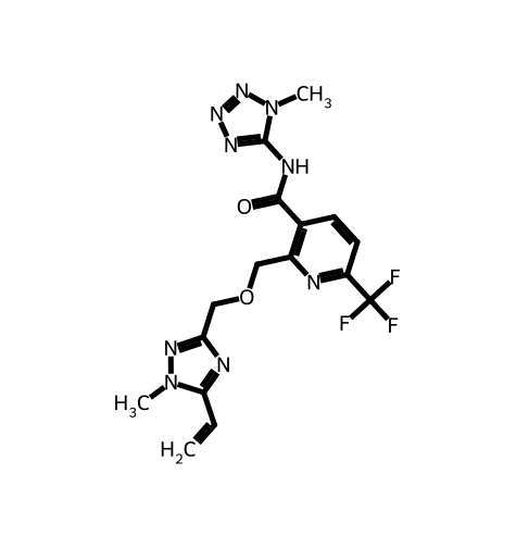 C=Cc1nc(COCc2nc(C(F)(F)F)ccc2C(=O)Nc2nnnn2C)nn1C